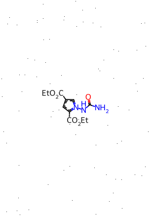 CCOC(=O)c1cc(C(=O)OCC)n(NC(N)=O)c1